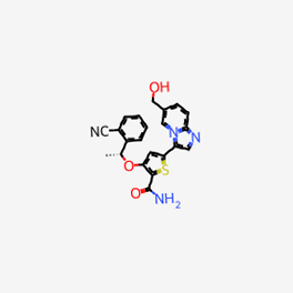 C[C@@H](Oc1cc(-c2cnc3ccc(CO)cn23)sc1C(N)=O)c1ccccc1C#N